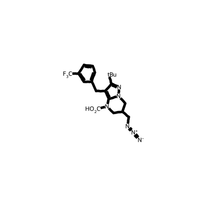 CC(C)(C)c1nn2c(c1Cc1cccc(C(F)(F)F)c1)N(C(=O)O)CC(CN=[N+]=[N-])C2